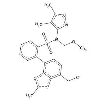 COCN(c1noc(C)c1C)S(=O)(=O)c1ccccc1-c1ccc(CCl)c2cc(C)oc12